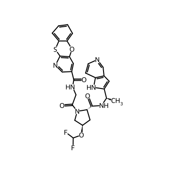 C[C@@H](NC(=O)[C@@H]1C[C@@H](OC(F)F)CN1C(=O)CNC(=O)c1cnc2c(c1)Oc1ccccc1S2)c1cc2cnccc2[nH]1